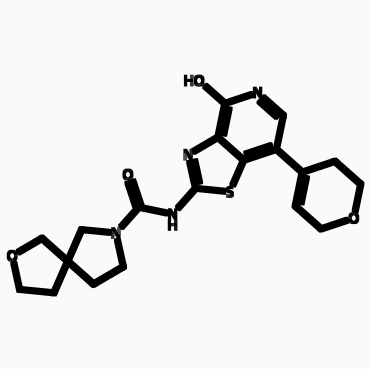 O=C(Nc1nc2c(O)ncc(C3=CCOCC3)c2s1)N1CCC2(CCOC2)C1